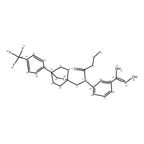 CCCC(=O)N(CC12CCC(c3ccc(C(F)(F)F)cn3)(CC1)CC2)c1cccc(/C(N)=N/O)c1